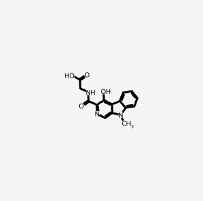 Cn1c2ccccc2c2c(O)c(C(=O)NCC(=O)O)ncc21